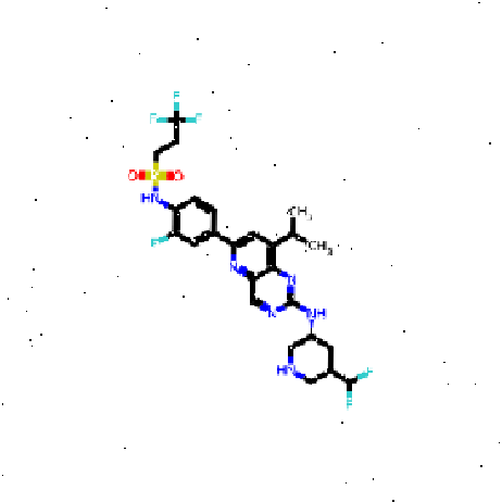 CC(C)c1cc(-c2ccc(NS(=O)(=O)CCC(F)(F)F)c(F)c2)nc2cnc(N[C@@H]3CNCC(C(F)F)C3)nc12